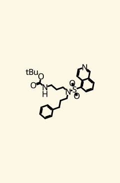 CC(C)(C)OC(=O)NCCCN(CCCc1ccccc1)S(=O)(=O)c1cccc2cnccc12